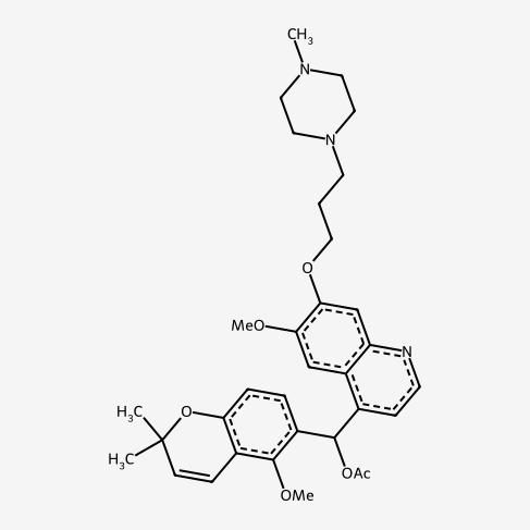 COc1cc2c(C(OC(C)=O)c3ccc4c(c3OC)C=CC(C)(C)O4)ccnc2cc1OCCCN1CCN(C)CC1